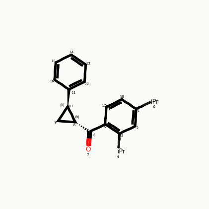 CC(C)c1[c]c(C(C)C)c(C(=O)[C@@H]2C[C@H]2c2ccccc2)cc1